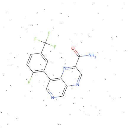 NC(=O)c1cnc2cncc(-c3cc(C(F)(F)F)ccc3F)c2n1